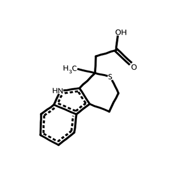 CC1(CC(=O)O)SCCc2c1[nH]c1ccccc21